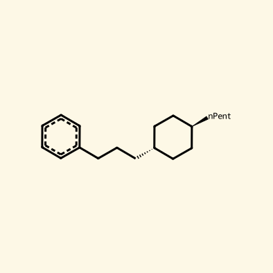 CCCCC[C@H]1CC[C@H](CCCc2ccccc2)CC1